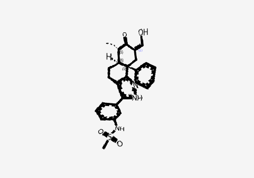 C[C@@H]1C(=O)/C(=C\O)C[C@]2(c3ccccc3)c3n[nH]c(-c4cccc(NS(C)(=O)=O)c4)c3CC[C@@H]12